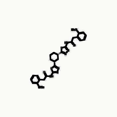 COc1ccccc1CC(=O)Nc1nnc([C@H]2CCC[C@H](c3nnc(NC(=O)Cc4ccccc4OC)s3)C2)s1